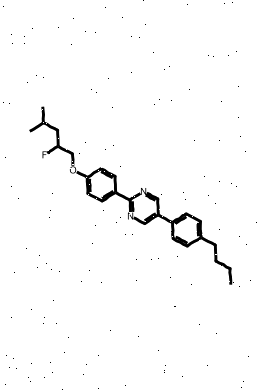 CCCCc1ccc(-c2cnc(-c3ccc(OCC(F)CC(C)C)cc3)nc2)cc1